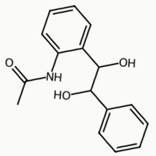 CC(=O)Nc1ccccc1C(O)C(O)c1ccccc1